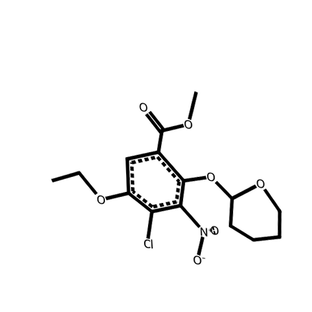 CCOc1cc(C(=O)OC)c(OC2CCCCO2)c([N+](=O)[O-])c1Cl